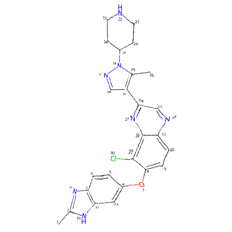 Cc1nc2ccc(Oc3ccc4ncc(-c5cnn(C6CCNCC6)c5C)nc4c3Cl)cc2[nH]1